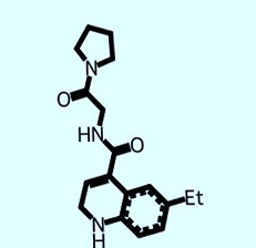 CCc1ccc2c(c1)C(C(=O)NCC(=O)N1CCCC1)=CCN2